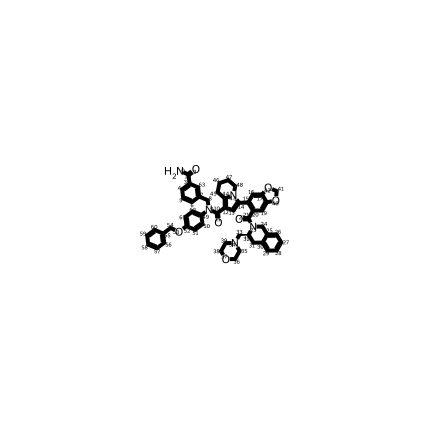 NC(=O)c1cccc(CN(C(=O)c2cc(-c3cc4c(cc3C(=O)N3Cc5ccccc5C[C@H]3CN3CCOCC3)OCO4)n3c2CCCC3)c2ccc(OCc3ccccc3)cc2)c1